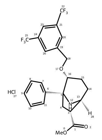 COC(=O)[C@@H]1C[C@]2(c3ccccc3)N[C@H]1CC[C@H]2OCc1cc(C(F)(F)F)cc(C(F)(F)F)c1.Cl